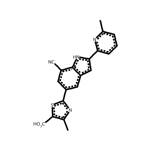 Cc1cccc(-c2cc3cc(-c4nc(C)c(C(=O)O)s4)cc(C#N)c3[nH]2)n1